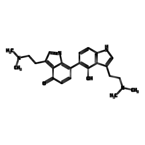 CN(C)CCC1=C2C(=O)C=CC(c3ccc4[nH]cc(CCN(C)C)c4c3O)=C2N=C1